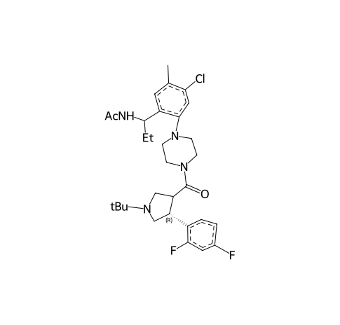 CCC(NC(C)=O)c1cc(C)c(Cl)cc1N1CCN(C(=O)C2CN(C(C)(C)C)C[C@H]2c2ccc(F)cc2F)CC1